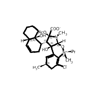 CC(=O)O[C@]1(C(=O)[O-])[C@@H](C2CC=C[C@@H]3CCCC[C@]23O)[C@@]2(O)C3=C[C@H](C)CC(Cl)=C3[N@+](C)(C(C)C)O[C@H]2N1C